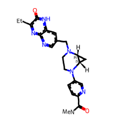 CCc1nc2ncc(CN3CCN(c4ccc(C(=O)NC)nc4)[C@H]4C[C@H]43)cc2[nH]c1=O